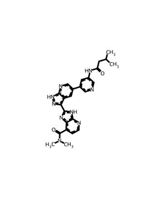 CC(C)CC(=O)Nc1cncc(-c2cnc3[nH]nc(-c4nc5c(C(=O)N(C)C)ccnc5[nH]4)c3c2)c1